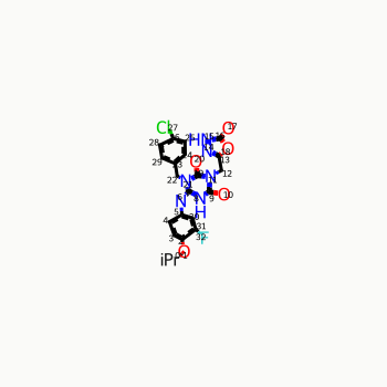 CC(C)Oc1ccc(/N=c2\[nH]c(=O)n(Cc3n[nH]c(=O)o3)c(=O)n2Cc2ccc(Cl)cc2)cc1F